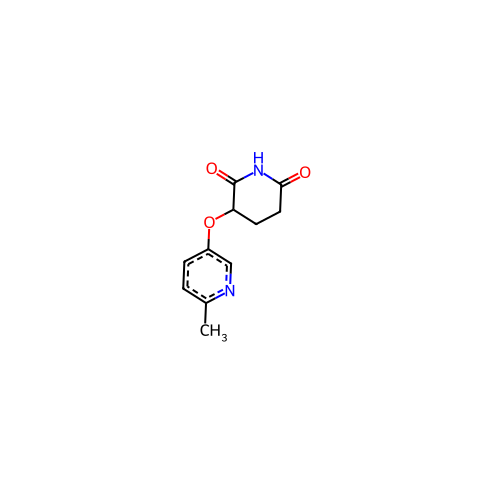 Cc1ccc(OC2CCC(=O)NC2=O)cn1